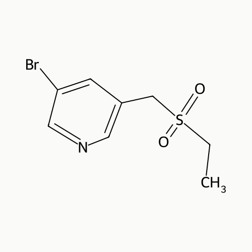 CCS(=O)(=O)Cc1cncc(Br)c1